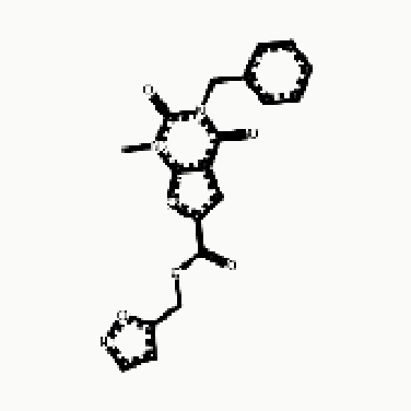 Cn1c(=O)n(Cc2ccccc2)c(=O)c2cc(C(=O)OCc3ccno3)sc21